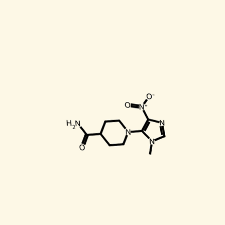 Cn1cnc([N+](=O)[O-])c1N1CCC(C(N)=O)CC1